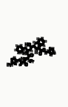 CC(C)c1nc(CN(C)C(=O)N[C@H](C(=O)N[C@@H](Cc2ccccc2)C[C@H](O)[C@H](Cc2ccccc2)NNC(=O)OCc2cncs2)C(C)C)cs1